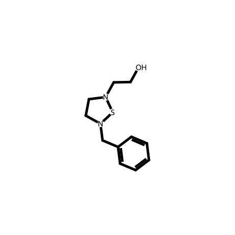 OCCN1CCN(Cc2ccccc2)S1